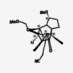 COCO[C@@H]1C[C@@](C)(CC#N)C(=O)[C@H](C)C23CC[C@H]4C[C@]41C2[C@H](OC)CC3